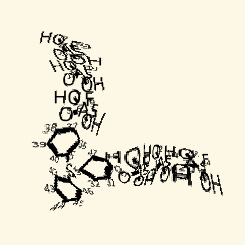 O=[As](O)(O)F.O=[As](O)(O)F.O=[As](O)(O)F.O=[As](O)(O)F.O=[As](O)(O)F.O=[As](O)(O)F.c1ccc([S+](c2ccccc2)c2ccccc2)cc1